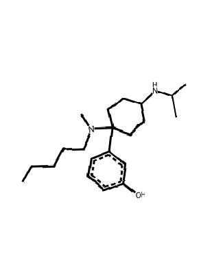 CCCCCN(C)C1(c2cccc(O)c2)CCC(NC(C)C)CC1